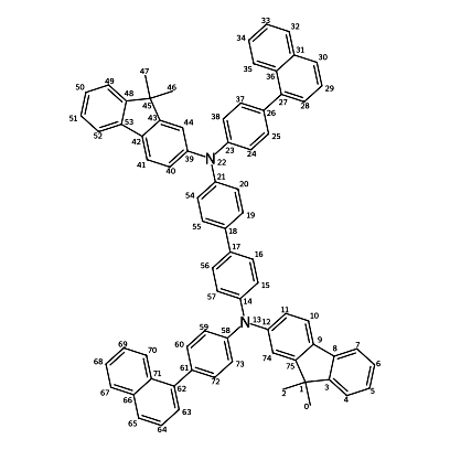 CC1(C)c2ccccc2-c2ccc(N(c3ccc(-c4ccc(N(c5ccc(-c6cccc7ccccc67)cc5)c5ccc6c(c5)C(C)(C)c5ccccc5-6)cc4)cc3)c3ccc(-c4cccc5ccccc45)cc3)cc21